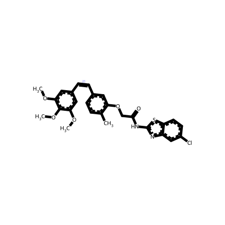 COc1cc(/C=C\c2ccc(C)c(OCC(=O)Nc3nc4cc(Cl)ccc4s3)c2)cc(OC)c1OC